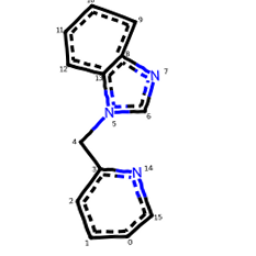 c1ccc(Cn2cnc3ccccc32)nc1